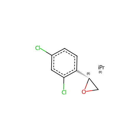 [CH2][C@H](C)[C@@]1(c2ccc(Cl)cc2Cl)CO1